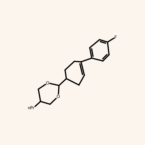 CCCC1COC(C2CC=C(c3ccc(F)cc3)CC2)OC1